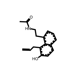 C=CCc1c(O)ccc2cccc(CCNC(C)=O)c12